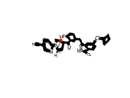 N#Cc1ccc(N2C[C@@H]3CC[C@H]2CN3C(=O)c2cc(Cc3n[nH]c(=O)c4ccc(OC5CCC5)cc34)ccc2F)nc1